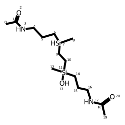 CC(=O)NCCC[SiH](C)CC[Si](C)(O)CCCNC(C)=O